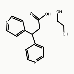 O=C(O)CC(c1ccncc1)c1ccncc1.OCCO